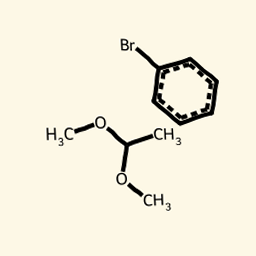 Brc1ccccc1.COC(C)OC